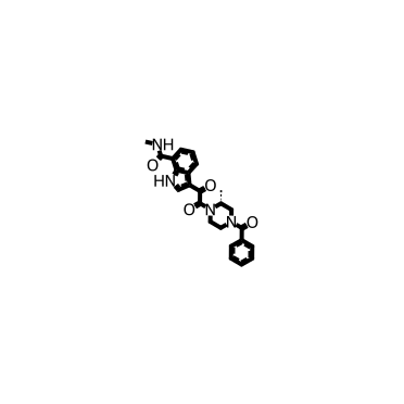 CNC(=O)c1cccc2c(C(=O)C(=O)N3CCN(C(=O)c4ccccc4)C[C@H]3C)c[nH]c12